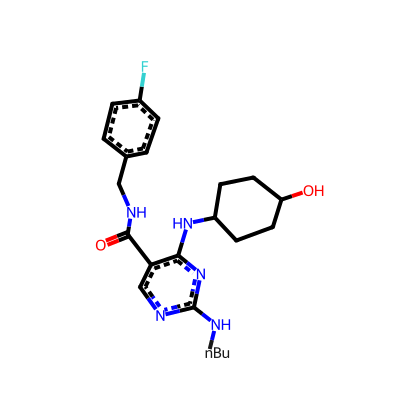 CCCCNc1ncc(C(=O)NCc2ccc(F)cc2)c(NC2CCC(O)CC2)n1